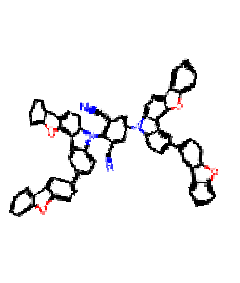 N#Cc1cc(-n2c3ccc(-c4ccc5oc6ccccc6c5c4)cc3c3c4oc5ccccc5c4ccc32)cc(C#N)c1-n1c2ccc(-c3ccc4oc5ccccc5c4c3)cc2c2c3oc4ccccc4c3ccc21